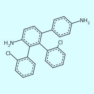 Nc1ccc(-c2ccc(N)c(-c3ccccc3Cl)c2-c2ccccc2Cl)cc1